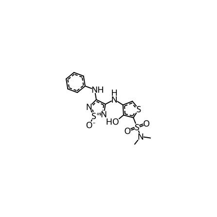 CN(C)S(=O)(=O)c1scc(Nc2n[s+]([O-])nc2Nc2ccccc2)c1O